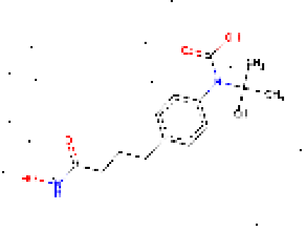 CC(C)(C)N(C(=O)O)c1ccc(CCCC(=O)NO)cc1